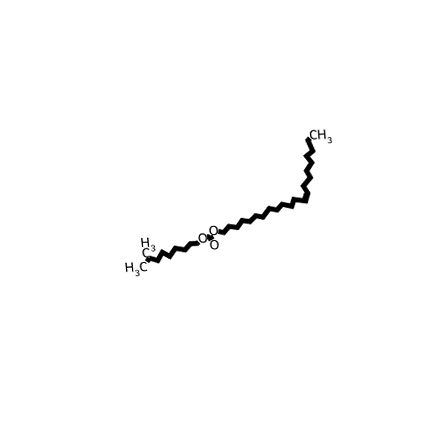 CCCCCCCC/C=C\CCCCCCCCCCCCOC(=O)OCCCCCCCC(C)C